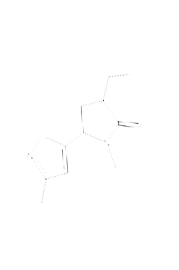 Cc1cc(C2CC(CF)C(=O)N2C)on1